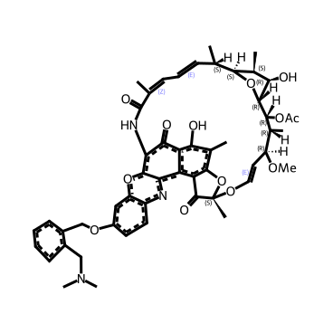 CO[C@H]1/C=C/O[C@@]2(C)Oc3c(C)c(O)c4c(=O)c(c5oc6cc(OCc7ccccc7CN(C)C)ccc6nc-5c4c3C2=O)NC(=O)/C(C)=C\C=C\[C@H](C)[C@@H]2O[C@H]([C@H](O)[C@@H]2C)[C@H](OC(C)=O)[C@@H]1C